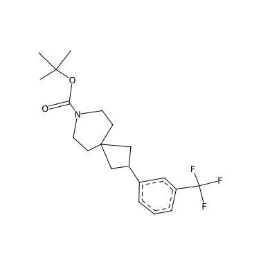 CC(C)(C)OC(=O)N1CCC2(CC1)CC(c1cccc(C(F)(F)F)c1)C2